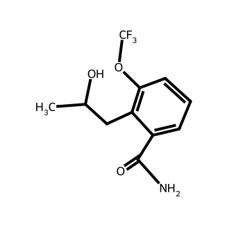 CC(O)Cc1c(OC(F)(F)F)cccc1C(N)=O